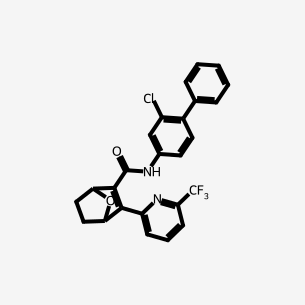 O=C(Nc1ccc(-c2ccccc2)c(Cl)c1)C1=C(c2cccc(C(F)(F)F)n2)C2CCC1O2